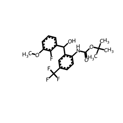 COc1cccc(C(O)c2cc(C(F)(F)F)ccc2NC(=O)OC(C)(C)C)c1F